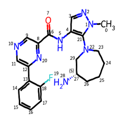 Cn1ncc(NC(=O)c2cncc(-c3ccccc3F)n2)c1N1CCCC[C@H](N)C1